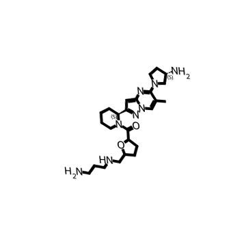 Cc1cn2nc([C@@H]3CCCCN3C(=O)C3CCC(CNCCCN)O3)cc2nc1N1CC[C@H](N)C1